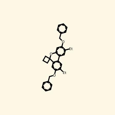 CCc1cc2c(cc1OCc1ccccc1)OC1(CCC1)c1cc(OCc3ccccc3)c(CC)cc1-2